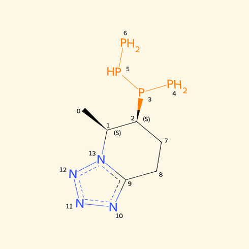 C[C@H]1[C@@H](P(P)PP)CCc2nnnn21